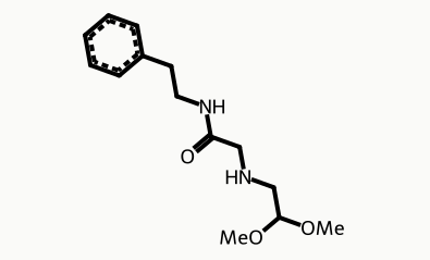 COC(CNCC(=O)NCCc1ccccc1)OC